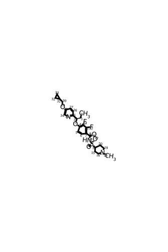 CC[C@@H](Oc1ccc(C(=O)NS(=O)(=O)C2CCN(C)CC2)c(F)c1F)c1ccc(OCC2CC2)cn1